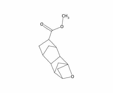 COC(=O)C1CC2CC1C1C2C2CC13CC2O3